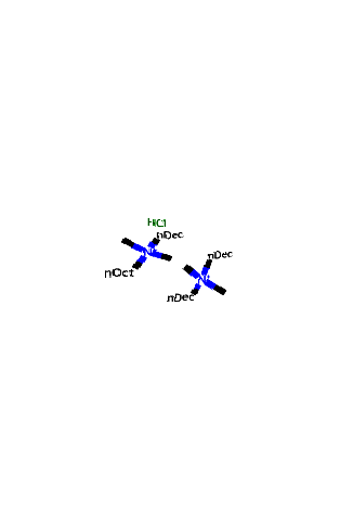 CCCCCCCCCC[N+](C)(C)CCCCCCCC.CCCCCCCCCC[N+](C)(C)CCCCCCCCCC.Cl